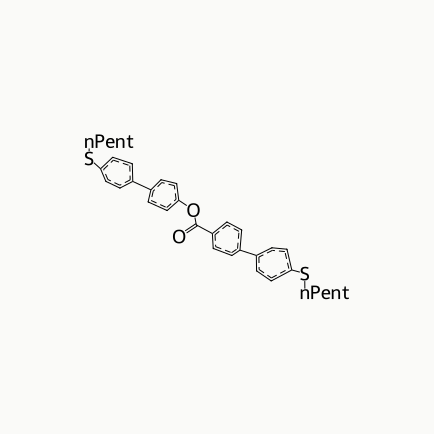 CCCCCSc1ccc(-c2ccc(OC(=O)c3ccc(-c4ccc(SCCCCC)cc4)cc3)cc2)cc1